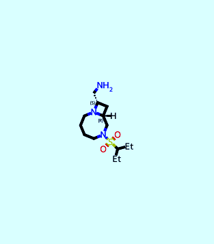 CCC(CC)S(=O)(=O)N1CCCCN2[C@H](CN)C[C@@H]2C1